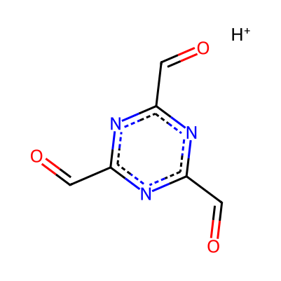 O=Cc1nc(C=O)nc(C=O)n1.[H+]